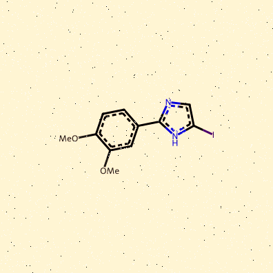 COc1ccc(-c2ncc(I)[nH]2)cc1OC